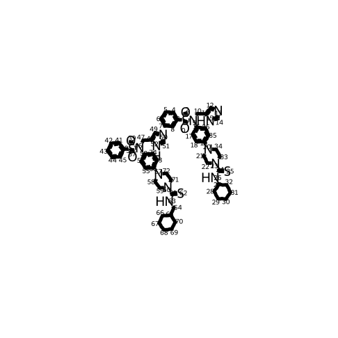 O=S(=O)(c1ccccc1)N(Cc1cnc[nH]1)c1ccc(N2CCN(C(=S)NC3CCCCC3)CC2)cc1.O=S(=O)(c1ccccc1)N(Cc1cnc[nH]1)c1ccc(N2CCN(C(=S)NCC3CCCCC3)CC2)cc1